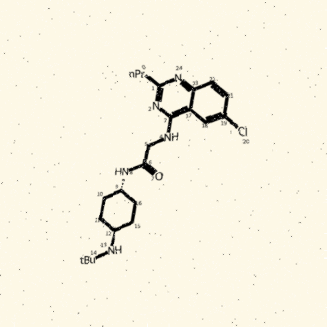 CCCc1nc(NCC(=O)N[C@H]2CC[C@H](NC(C)(C)C)CC2)c2cc(Cl)ccc2n1